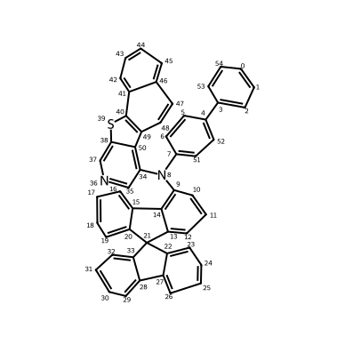 c1ccc(-c2ccc(N(c3cccc4c3-c3ccccc3C43c4ccccc4-c4ccccc43)c3cncc4sc5c6ccccc6ccc5c34)cc2)cc1